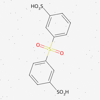 O=S(=O)(O)c1cccc(S(=O)(=O)c2cccc(S(=O)(=O)O)c2)c1